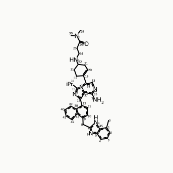 Cc1cccc2nc(Cc3ccc(-c4nc(C(C)C)n5c(C6=CCC(NCCC(=O)N(C)C)CC6)cnc(N)c45)c4ccccc34)[nH]c12